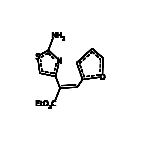 CCOC(=O)C(=Cc1ccco1)c1csc(N)n1